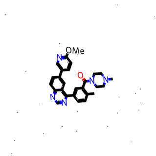 COc1ccc(-c2ccc3ncnc(-c4ccc(C)c(C(=O)N5CCN(C)CC5)c4)c3c2)cn1